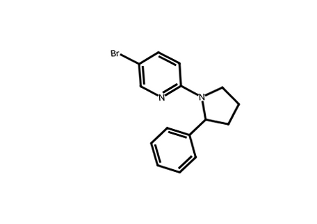 Brc1ccc(N2CCCC2c2ccccc2)nc1